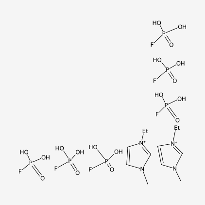 CC[n+]1ccn(C)c1.CC[n+]1ccn(C)c1.O=P(O)(O)F.O=P(O)(O)F.O=P(O)(O)F.O=P(O)(O)F.O=P(O)(O)F.O=P(O)(O)F